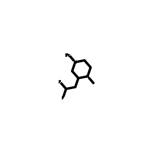 CC(C)N1CCN(C)C(CC(F)F)C1